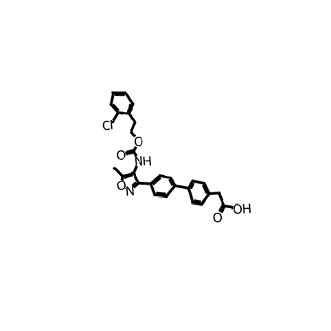 Cc1onc(-c2ccc(-c3ccc(CC(=O)O)cc3)cc2)c1NC(=O)OCCc1ccccc1Cl